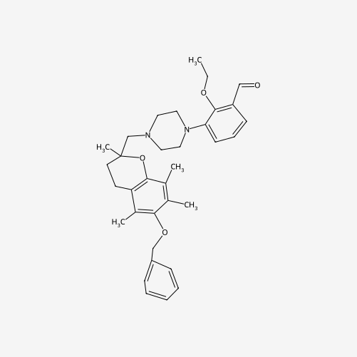 CCOc1c(C=O)cccc1N1CCN(CC2(C)CCc3c(C)c(OCc4ccccc4)c(C)c(C)c3O2)CC1